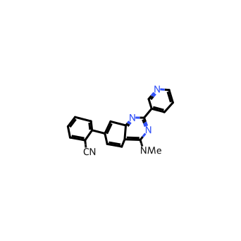 CNc1nc(-c2cccnc2)nc2cc(-c3ccccc3C#N)ccc12